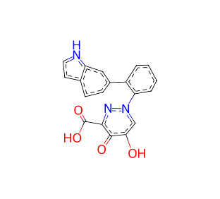 O=C(O)c1nn(-c2ccccc2-c2ccc3cc[nH]c3c2)cc(O)c1=O